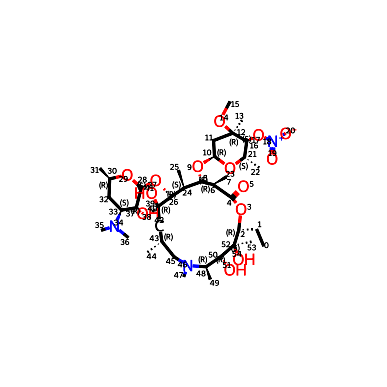 CC[C@H]1OC(=O)[C@H](C)[C@@H](O[C@H]2C[C@@](C)(OC)[C@@H](O[N+](=O)[O-])[C@H](C)O2)[C@H](C)[C@@H](O[C@@H]2O[C@H](C)C[C@H](N(C)C)[C@H]2O)[C@](C)(O)C[C@@H](C)CN(C)[C@H](C)[C@@H](O)[C@]1(C)O